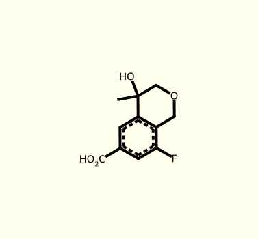 CC1(O)COCc2c(F)cc(C(=O)O)cc21